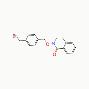 O=C1c2ccccc2CCN1OCc1ccc(CBr)cc1